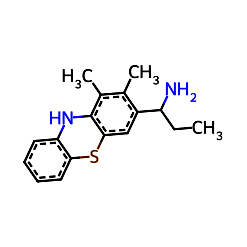 CCC(N)c1cc2c(c(C)c1C)Nc1ccccc1S2